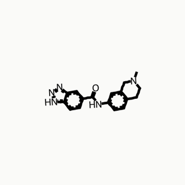 CN1CCc2ccc(NC(=O)c3ccc4[nH]nnc4c3)cc2C1